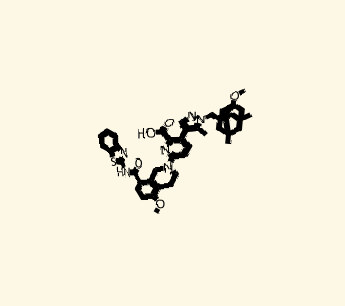 COc1ccc(C(=O)Nc2nc3ccccc3s2)c2c1CCN(c1ccc(-c3cnn(CC45CC6(C)CC(C)(C4)CC(OC)(C6)C5)c3C)c(C(=O)O)n1)C2